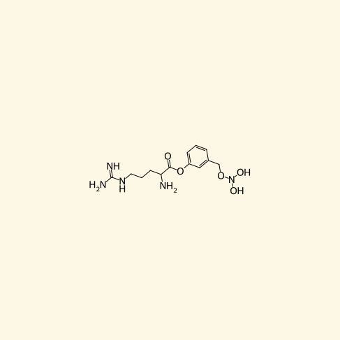 N=C(N)NCCCC(N)C(=O)Oc1cccc(CON(O)O)c1